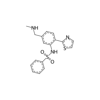 CNCc1ccc(-c2nccs2)c(NS(=O)(=O)c2ccccc2)c1